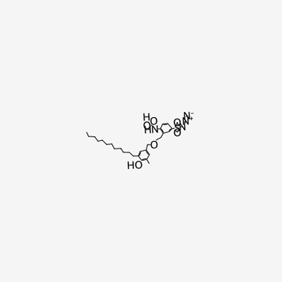 CCCCCCCCCCCCc1cc(COCCc2cc(S(=O)(=O)N=[N+]=[N-])ccc2NC(=O)O)cc(C)c1O